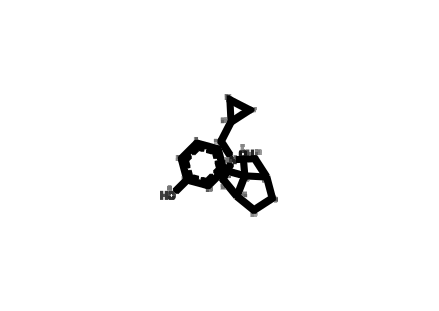 Oc1cccc(C2(O)C3CCC2CN(CC2CC2)C3)c1